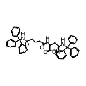 O=C(CCCC(=O)NC(c1ccccc1)(c1ccccc1)c1ccccc1)NC(CC(=O)NC(c1ccccc1)(c1ccccc1)c1ccccc1)C(=O)O